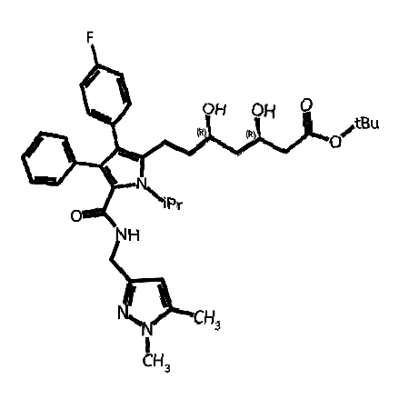 Cc1cc(CNC(=O)c2c(-c3ccccc3)c(-c3ccc(F)cc3)c(CC[C@@H](O)C[C@@H](O)CC(=O)OC(C)(C)C)n2C(C)C)nn1C